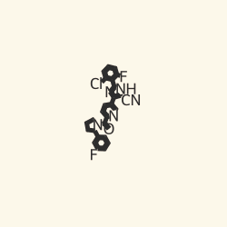 N#Cc1[nH]c(-c2c(F)cccc2Cl)nc1-c1ccc(C(=O)N2CCCC2c2cccc(F)c2)nc1